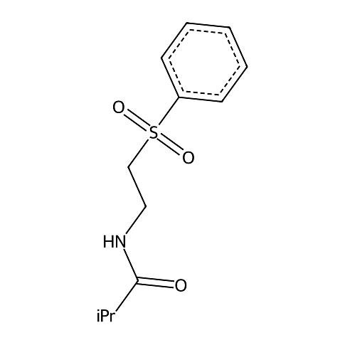 CC(C)C(=O)NCCS(=O)(=O)c1ccccc1